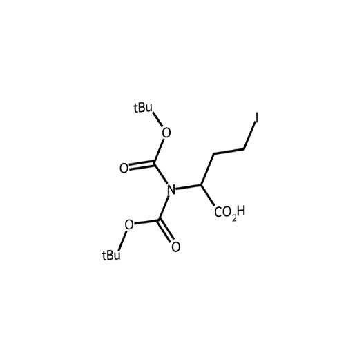 CC(C)(C)OC(=O)N(C(=O)OC(C)(C)C)C(CCI)C(=O)O